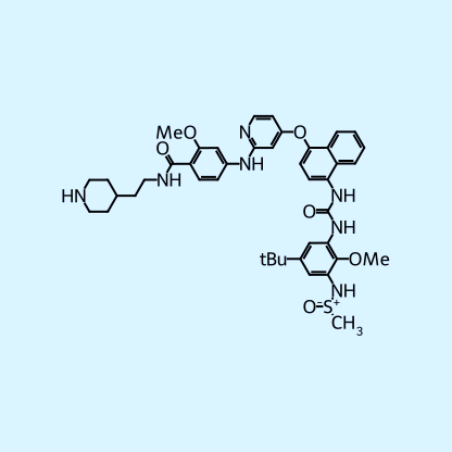 COc1cc(Nc2cc(Oc3ccc(NC(=O)Nc4cc(C(C)(C)C)cc(N[S+](C)[O-])c4OC)c4ccccc34)ccn2)ccc1C(=O)NCCC1CCNCC1